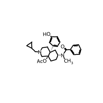 CC(=O)O[C@]12CC[C@@H](N(C)C(=O)c3ccccc3)C[C@]1(c1cccc(O)c1)CCN(CC1CC1)C2